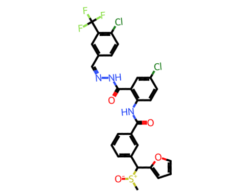 C[S+]([O-])C(c1cccc(C(=O)Nc2ccc(Cl)cc2C(=O)N/N=C\c2ccc(Cl)c(C(F)(F)F)c2)c1)c1ccco1